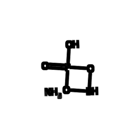 N.O=P1(O)OBO1